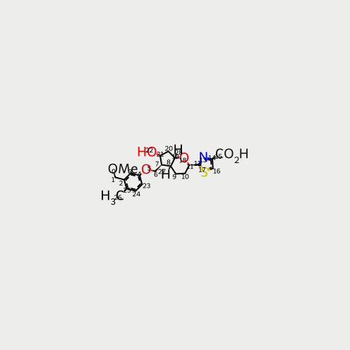 COCc1cc(OC[C@@H]2[C@H]3CC[C@H](c4nc(C(=O)O)cs4)O[C@H]3C[C@@H]2O)ccc1C